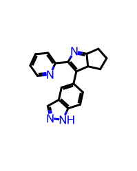 c1ccc(C2=C(c3ccc4[nH]ncc4c3)C3CCCC3=N2)nc1